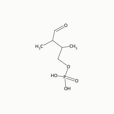 CC(C=O)C(C)COP(=O)(O)O